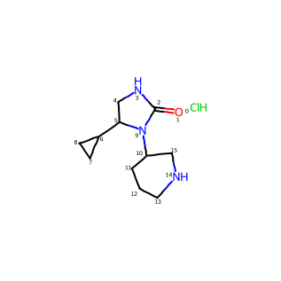 Cl.O=C1NCC(C2CC2)N1C1CCCNC1